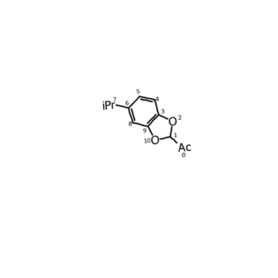 CC(=O)C1Oc2ccc(C(C)C)cc2O1